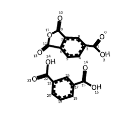 O=C(O)c1ccc2c(c1)C(=O)OC2=O.O=C(O)c1cccc(C(=O)O)c1